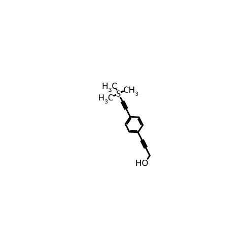 CS(C)(C)C#Cc1ccc(C#CCO)cc1